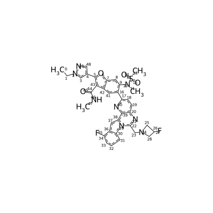 CCn1cc(-c2oc3cc(N(C)S(C)(=O)=O)c(-c4ccc5nc(CN6CC(F)C6)n6c7cccc(F)c7cc6c5n4)cc3c2C(=O)NC)cn1